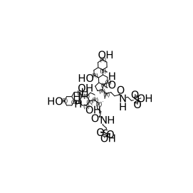 C[C@H](CCC(=O)NCCS(=O)(=O)O)[C@H]1CCC2C3C(C[C@H](O)[C@@]21C)[C@@]1(C)CC[C@@H](O)CC1C[C@H]3O.C[C@H](CCC(=O)NCCS(=O)(=O)O)[C@H]1CC[C@H]2[C@@H]3[C@H](O)CC4C[C@H](O)CC[C@]4(C)[C@H]3C[C@H](O)[C@]12C